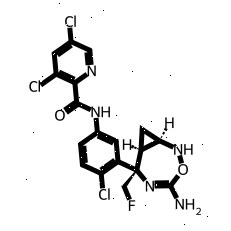 NC1=N[C@](CF)(c2cc(NC(=O)c3ncc(Cl)cc3Cl)ccc2Cl)[C@H]2C[C@H]2NO1